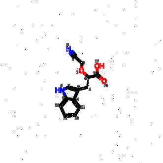 N#CCO[C@@H](Cc1c[nH]c2ccccc12)C(=O)O